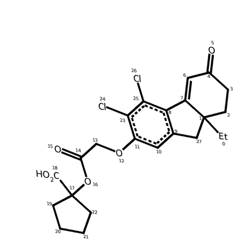 CCC12CCC(=O)C=C1c1c(cc(OCC(=O)OC3(C(=O)O)CCCC3)c(Cl)c1Cl)C2